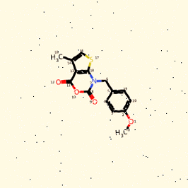 COc1ccc(Cn2c(=O)oc(=O)c3c(C)csc32)cc1